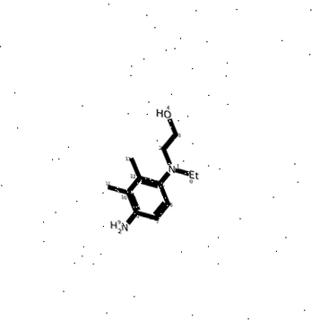 CCN(CCO)c1ccc(N)c(C)c1C